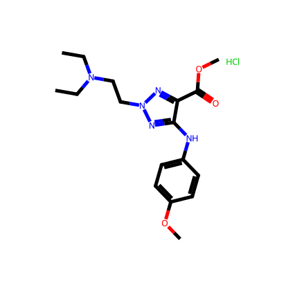 CCN(CC)CCn1nc(Nc2ccc(OC)cc2)c(C(=O)OC)n1.Cl